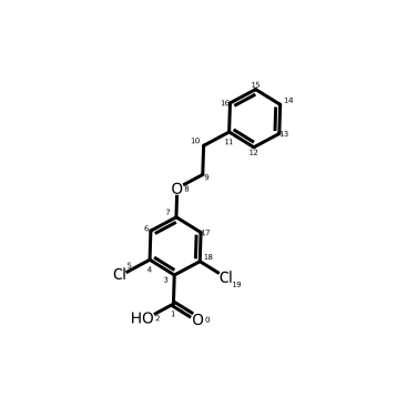 O=C(O)c1c(Cl)cc(OCCc2ccccc2)cc1Cl